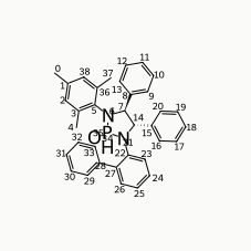 Cc1cc(C)c(N2[C@@H](c3ccccc3)[C@H](c3ccccc3)N(c3ccccc3-c3ccccc3)[PH]2=O)c(C)c1